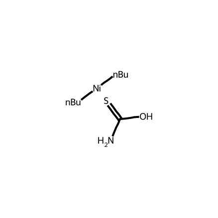 CCC[CH2][Ni][CH2]CCC.NC(O)=S